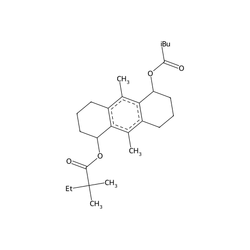 CCC(C)C(=O)OC1CCCc2c(C)c3c(c(C)c21)CCCC3OC(=O)C(C)(C)CC